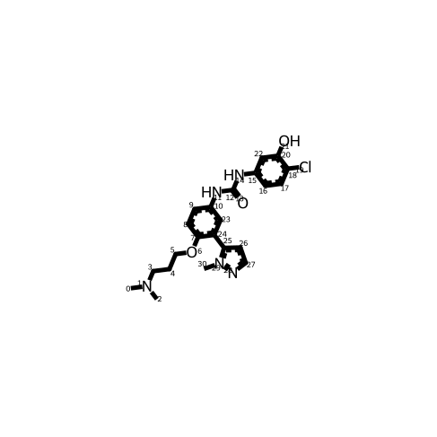 CN(C)CCCOc1ccc(NC(=O)Nc2ccc(Cl)c(O)c2)cc1-c1ccnn1C